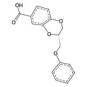 O=C(O)c1ccc2c(c1)O[C@@H](COc1ccccc1)CO2